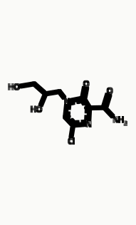 NC(=O)c1nc(Cl)cn(CC(O)CO)c1=O